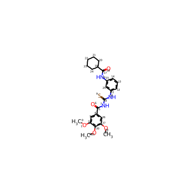 COc1cc(C(=O)NC(=S)Nc2cccc(NC(=O)C3CCCCC3)c2)cc(OC)c1OC